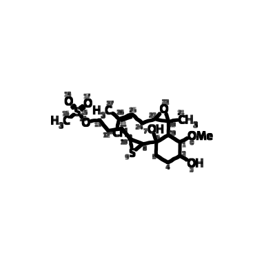 COC1C(O)CCC(O)(C2SC2CCCOS(C)(=O)=O)C1C1(C)OC1CC=C(C)C